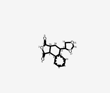 O=C1OC(=O)C2c3ccccc3C(C3COCO3)CC12